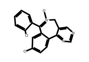 [O-][N+]1=C(c2ccccc2Cl)c2cc(Cl)ccc2-c2ncncc2C1